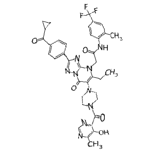 CCc1c(N2CCN(C(=O)c3ncnc(C)c3O)CC2)c(=O)n2nc(-c3ccc(C(=O)C4CC4)cc3)nc2n1CC(=O)Nc1ccc(C(F)(F)F)cc1C